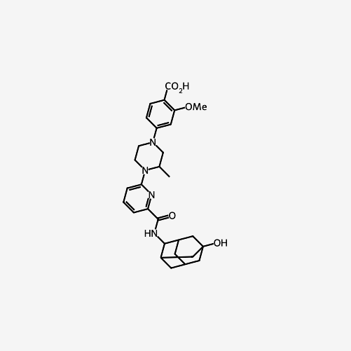 COc1cc(N2CCN(c3cccc(C(=O)NC4C5CC6CC4CC(O)(C6)C5)n3)C(C)C2)ccc1C(=O)O